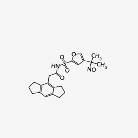 CC(C)(N=O)c1coc(S(=O)(=O)NC(=O)Cc2c3c(cc4c2CCC4)CCC3)c1